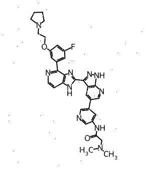 CN(C)CC(=O)Nc1cncc(-c2cnc3[nH]nc(-c4nc5c(-c6cc(F)cc(OCCN7CCCC7)c6)nccc5[nH]4)c3c2)c1